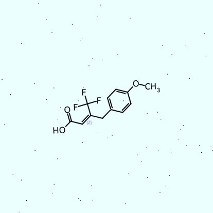 COc1ccc(C/C(=C/C(=O)O)C(F)(F)F)cc1